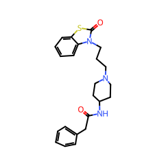 O=C(Cc1ccccc1)NC1CCN(CCCn2c(=O)sc3ccccc32)CC1